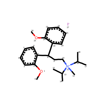 COc1ccccc1C(CC[N+](C)(C(C)C)C(C)C)c1ccccc1OC.[I-]